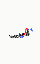 COc1ccc(N2CCN(CC(O)COc3cccc4cc(C(N)=O)oc34)CC2)cc1